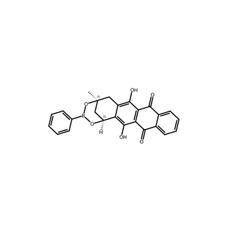 C[C@]12Cc3c(O)c4c(c(O)c3[C@H](C1)OB(c1ccccc1)O2)C(=O)c1ccccc1C4=O